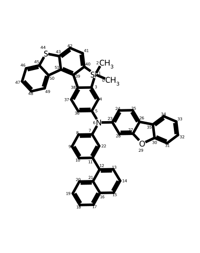 C[Si]1(C)c2cc(N(c3cccc(-c4cccc5ccccc45)c3)c3ccc4c(c3)oc3ccccc34)ccc2-c2c1ccc1sc3ccccc3c21